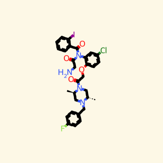 C[C@@H]1CN(Cc2ccc(F)cc2)[C@@H](C)CN1C(=O)COc1ccc(Cl)cc1N(C(=O)CN)C(=O)c1ccccc1I